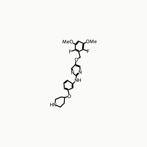 COc1cc(OC)c(F)c(COc2cnc(Nc3cccc(OC4CCNCC4)c3)nc2)c1F